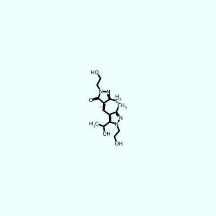 CC1=NN(CCO)C(=O)/C1=C/c1c(C)nn(CCO)c1C(C)O